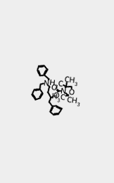 CC1(C)COC(C)(C)N1C(=O)OC(CCN(Cc1ccccc1)Cc1ccccc1)Cc1ccccc1